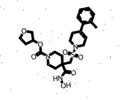 Cc1ccccc1C1=CCN(S(=O)(=O)CC2(C(=O)NO)CCN(C(=O)OC3CCOC3)CC2)CC1